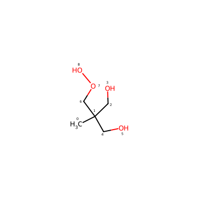 CC(CO)(CO)COO